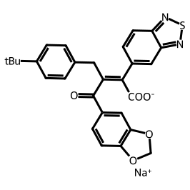 CC(C)(C)c1ccc(CC(C(=O)c2ccc3c(c2)OCO3)=C(C(=O)[O-])c2ccc3nsnc3c2)cc1.[Na+]